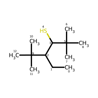 CCC(C(S)C(C)(C)C)C(C)(C)C